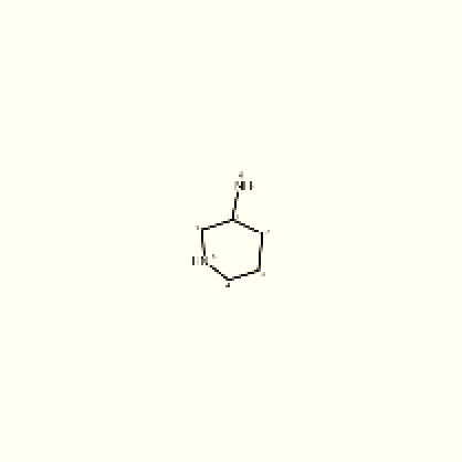 [NH]C1CCCNC1